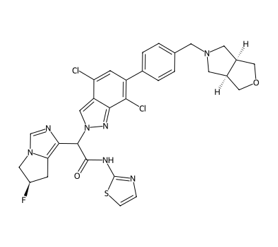 O=C(Nc1nccs1)C(c1ncn2c1C[C@@H](F)C2)n1cc2c(Cl)cc(-c3ccc(CN4C[C@H]5COC[C@H]5C4)cc3)c(Cl)c2n1